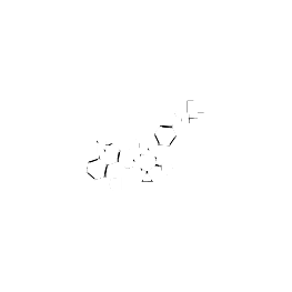 O=C1N(c2ccc(SC(F)(F)F)cc2)C(=O)C2(CC2)N1Cc1ccnc2cccc(Cl)c12